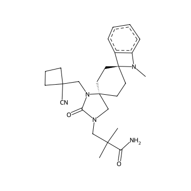 CN1c2ccccc2[C@]12CC[C@]1(CC2)CN(CC(C)(C)C(N)=O)C(=O)N1CC1(C#N)CCC1